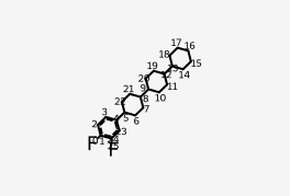 Fc1ccc(C2CCC(C3CCC(C4CCCCC4)CC3)CC2)cc1F